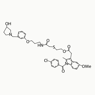 COc1ccc2c(c1)c(CC(=O)OCCSCC(=O)NCCCOc1cccc(CN3CCC(O)C3)c1)c(C)n2C(=O)c1ccc(Cl)cc1